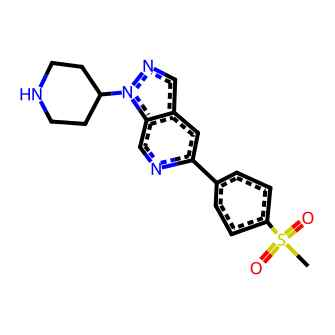 CS(=O)(=O)c1ccc(-c2cc3cnn(C4CCNCC4)c3cn2)cc1